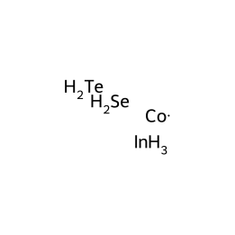 [Co].[InH3].[SeH2].[TeH2]